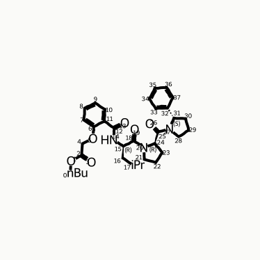 CCCCOC(=O)COc1ccccc1C(=O)N[C@H](CC(C)C)C(=O)N1CCC[C@@H]1C(=O)N1CCC[C@H]1c1ccccc1